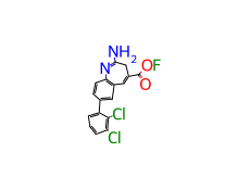 NC1=Nc2ccc(-c3cccc(Cl)c3Cl)cc2C=C(C(=O)OF)C1